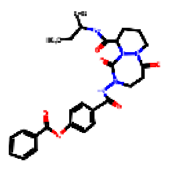 O=CC(CC(=O)O)NC(=O)C1CCCN2C(=O)CCN(NC(=O)c3ccc(OC(=O)c4ccccc4)cc3)C(=O)N12